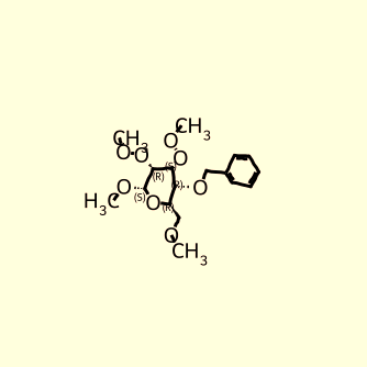 COC[C@H]1O[C@H](OC)[C@H](OOC)[C@@H](OOC)[C@@H]1OCc1ccccc1